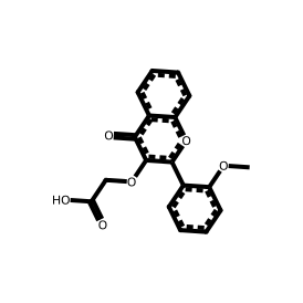 COc1ccccc1-c1oc2ccccc2c(=O)c1OCC(=O)O